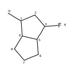 CC1CC(F)C2CCCC12